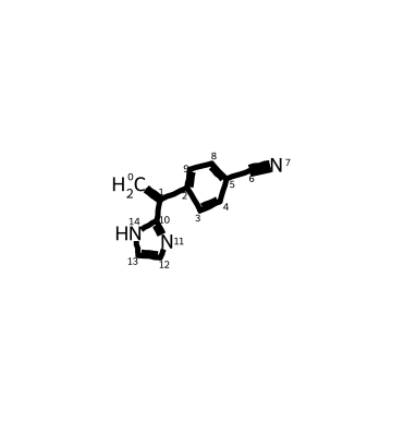 C=C(c1ccc(C#N)cc1)c1ncc[nH]1